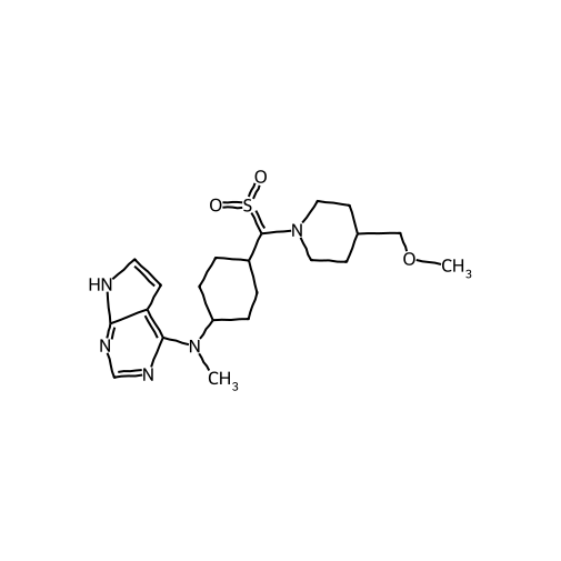 COCC1CCN(C(C2CCC(N(C)c3ncnc4[nH]ccc34)CC2)=S(=O)=O)CC1